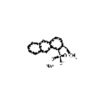 C=Cc1ccc2cc3ccccc3cc2c1S(=O)(=O)[O-].[Na+]